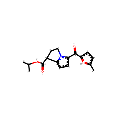 Cc1ccc(C(=O)c2ccc3n2CCC3C(=O)OC(C)C)o1